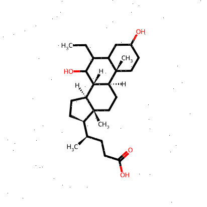 CCC1C(O)[C@H]2[C@@H]3CC[C@H]([C@H](C)CCC(=O)O)[C@@]3(C)CC[C@@H]2[C@@]2(C)CCC(O)CC12